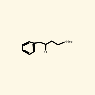 CCCCCCCCC([O])Cc1ccccc1